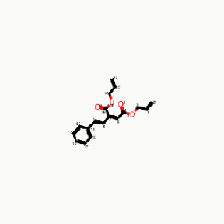 C=CCOC(=O)C=C(C=Cc1ccccc1)C(=O)OCC=C